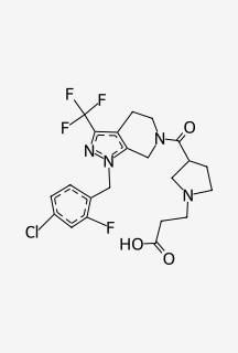 O=C(O)CCN1CCC(C(=O)N2CCc3c(C(F)(F)F)nn(Cc4ccc(Cl)cc4F)c3C2)C1